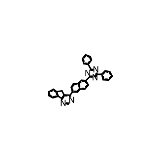 c1ccc(-c2nc(-c3ccccc3)nc(-c3ccc4cc(-c5ncnc6c5Cc5ccccc5-6)ccc4c3)n2)cc1